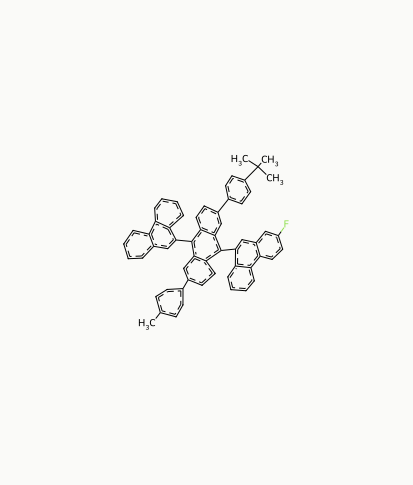 Cc1ccc(-c2ccc3c(-c4cc5cc(F)ccc5c5ccccc45)c4cc(-c5ccc(C(C)(C)C)cc5)ccc4c(-c4cc5ccccc5c5ccccc45)c3c2)cc1